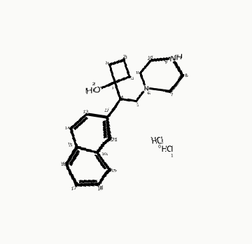 Cl.Cl.OC1(C(CN2CCNCC2)c2ccc3ccccc3c2)CCC1